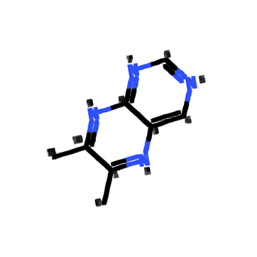 Cc1nc2cncnc2nc1C